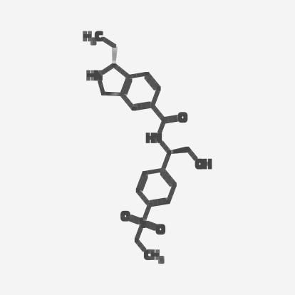 CC[C@H]1NCc2cc(C(=O)N[C@@H](CO)c3ccc(S(=O)(=O)CC)cc3)ccc21